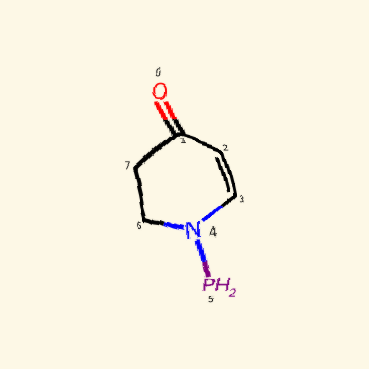 O=C1C=CN(P)CC1